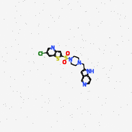 O=S(=O)(c1cc2ncc(Cl)cc2s1)N1CCN(Cc2cc3cnccc3[nH]2)CC1